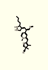 C=N/C=C(\C=C1/CNNC1CCCC)C(/C=C\NC)=C/C=C/C1=C(C)C(C)(C#N)C=N1